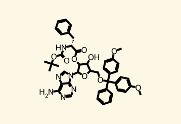 COc1ccc(C(OCC2OC(n3cnc4c(N)ncnc43)C(OC(=O)[C@@H](Cc3ccccc3)NC(=O)OC(C)(C)C)C2O)(c2ccccc2)c2ccc(OC)cc2)cc1